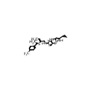 C=C(S/C(=C\C)CNc1ncc(Br)c(Nc2cc(C3CC3)[nH]n2)n1)c1ccc(C(F)(F)F)cc1